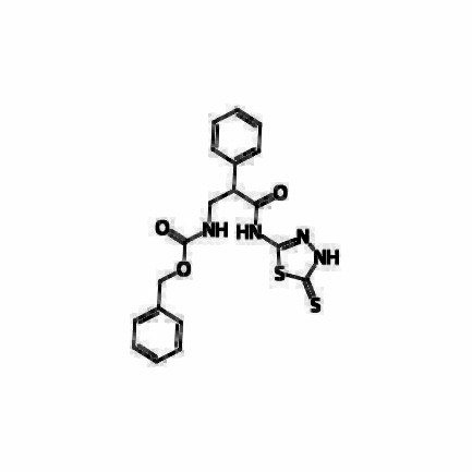 O=C(NCC(C(=O)Nc1n[nH]c(=S)s1)c1ccccc1)OCc1ccccc1